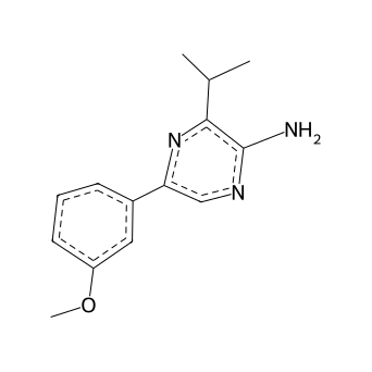 COc1cccc(-c2cnc(N)c(C(C)C)n2)c1